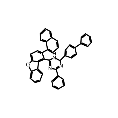 c1ccc(C2=NC(c3ccc(-c4ccccc4)cc3)NC(c3c(-c4cccc5ccccc45)ccc4oc5ccccc5c34)=N2)cc1